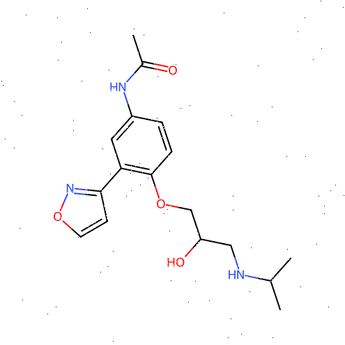 CC(=O)Nc1ccc(OCC(O)CNC(C)C)c(-c2ccon2)c1